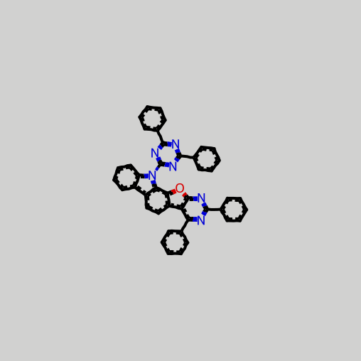 c1ccc(-c2nc(-c3ccccc3)nc(-n3c4ccccc4c4ccc5c(oc6nc(-c7ccccc7)nc(-c7ccccc7)c65)c43)n2)cc1